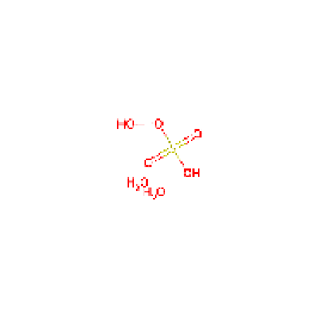 O.O.O=S(=O)(O)OO